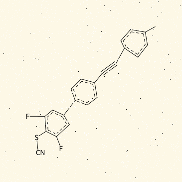 Cc1ccc(C#Cc2ccc(-c3cc(F)c(SC#N)c(F)c3)cc2)cc1